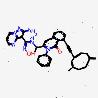 C/C1=C/C(C#Cc2cccc3cc(C(C)N/C(=N\O)c4c(N)nn5cccnc45)n(-c4ccccc4)c(=O)c23)=C\CC(C)CC1